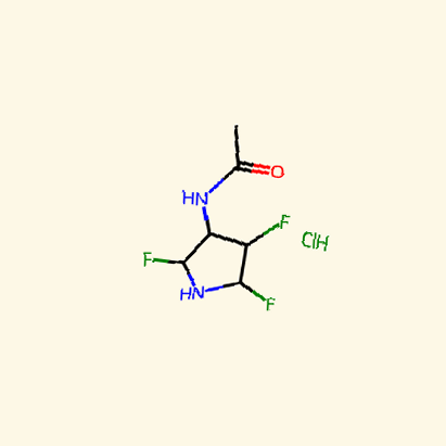 CC(=O)NC1C(F)NC(F)C1F.Cl